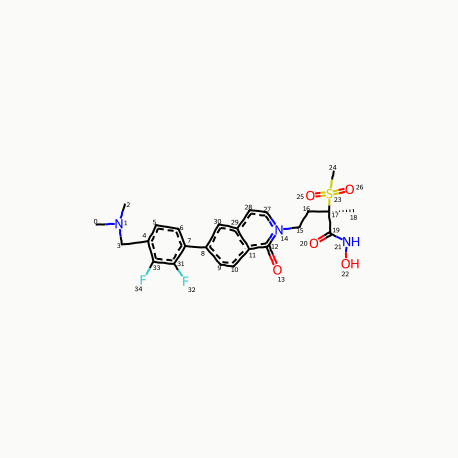 CN(C)Cc1ccc(-c2ccc3c(=O)n(CC[C@](C)(C(=O)NO)S(C)(=O)=O)ccc3c2)c(F)c1F